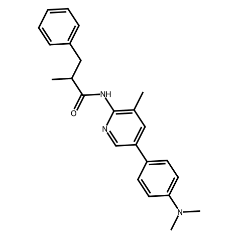 Cc1cc(-c2ccc(N(C)C)cc2)cnc1NC(=O)C(C)Cc1ccccc1